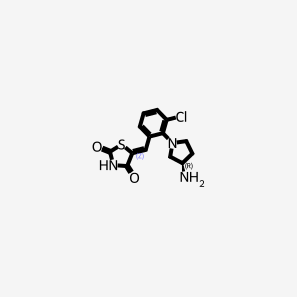 N[C@@H]1CCN(c2c(Cl)cccc2/C=C2\SC(=O)NC2=O)C1